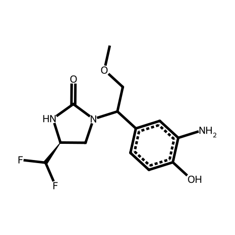 COCC(c1ccc(O)c(N)c1)N1C[C@@H](C(F)F)NC1=O